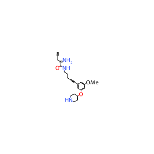 C#CC[C@H](N)C(=O)NCCCC#Cc1cc(OC)cc(OC2CCNCC2)c1